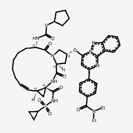 CCN(CC)C(=O)c1ccc(-c2cc(O[C@@H]3C[C@H]4C(=O)N[C@]5(C(=O)NS(=O)(=O)C6CC6)C[C@H]5/C=C\CCCCC[C@H](NC(=O)OC5CCCC5)C(=O)N4C3)n3nc4ccccc4c3n2)cc1